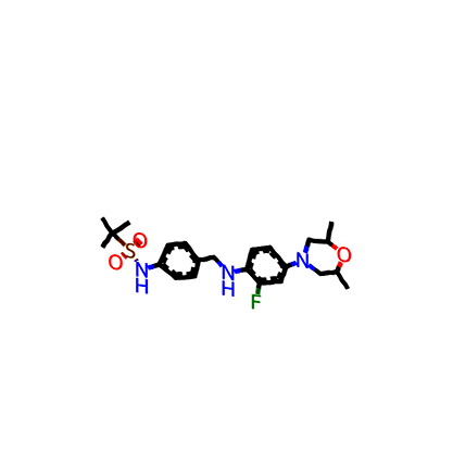 CC1CN(c2ccc(NCc3ccc(NS(=O)(=O)C(C)(C)C)cc3)c(F)c2)CC(C)O1